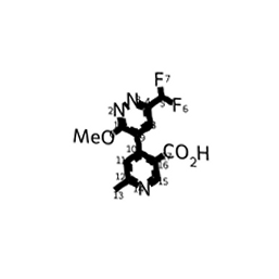 COc1nnc(C(F)F)cc1-c1cc(C)ncc1C(=O)O